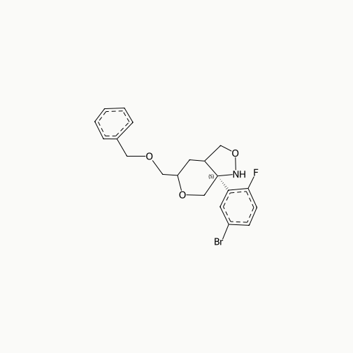 Fc1ccc(Br)cc1[C@]12COC(COCc3ccccc3)CC1CON2